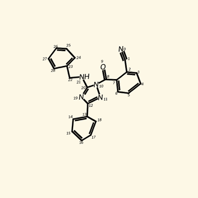 N#Cc1ccccc1C(=O)n1nc(-c2ccccc2)nc1NCc1ccccc1